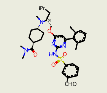 Cc1cccc(C)c1-c1cc(OC[C@@H](CC(C)C)N(C)[C@H]2CC[C@H](C(=O)N(C)C)CC2)nc(NS(=O)(=O)c2cccc(C=O)c2)n1